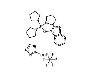 F[P-](F)(F)(F)(F)F.On1ccnn1.c1ccc2c(c1)nnn2O[P+](N1CCCC1)(N1CCCC1)N1CCCC1